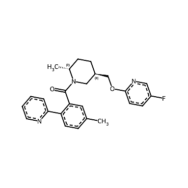 Cc1ccc(-c2ccccn2)c(C(=O)N2C[C@H](COc3ccc(F)cn3)CC[C@H]2C)c1